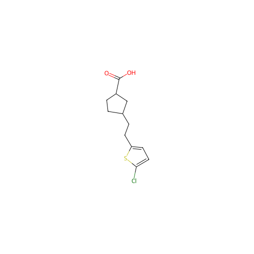 O=C(O)C1CCC(CCc2ccc(Cl)s2)C1